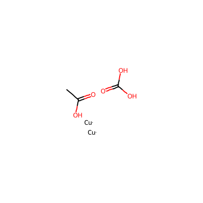 CC(=O)O.O=C(O)O.[Cu].[Cu]